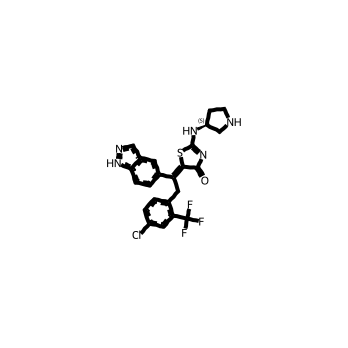 O=C1N=C(N[C@H]2CCNC2)SC1=C(Cc1ccc(Cl)cc1C(F)(F)F)c1ccc2[nH]ncc2c1